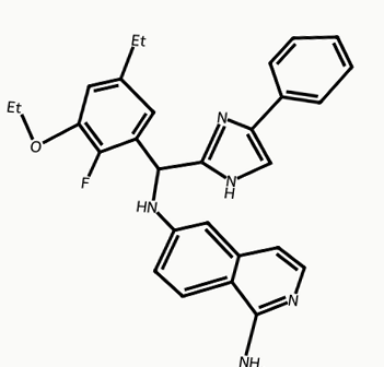 CCOc1cc(CC)cc(C(Nc2ccc3c(N)nccc3c2)c2nc(-c3ccccc3)c[nH]2)c1F